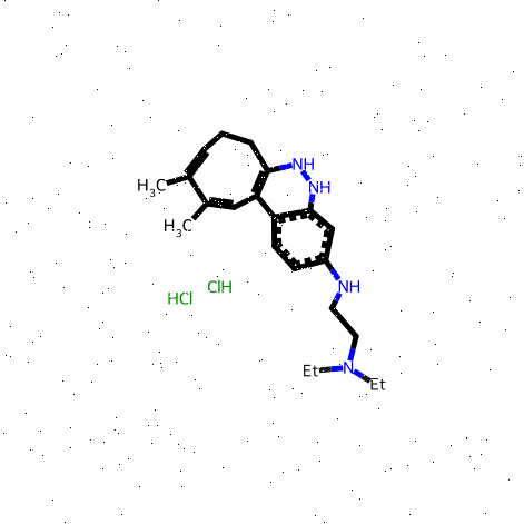 CCN(CC)CCNc1ccc2c(c1)NNC1=C2/C=C(C)\C(C)=C/CC1.Cl.Cl